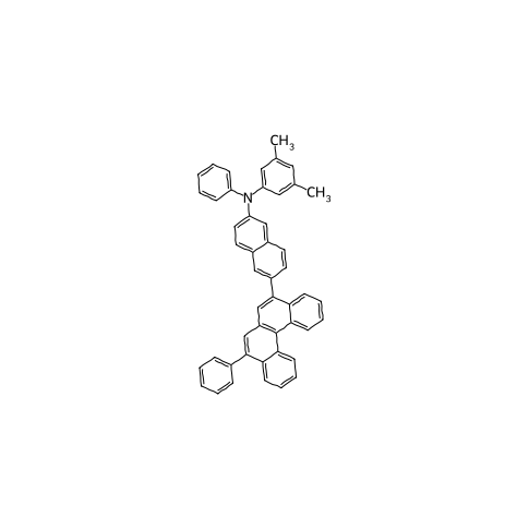 Cc1cc(C)cc(N(c2ccccc2)c2ccc3cc(-c4cc5cc(-c6ccccc6)c6ccccc6c5c5ccccc45)ccc3c2)c1